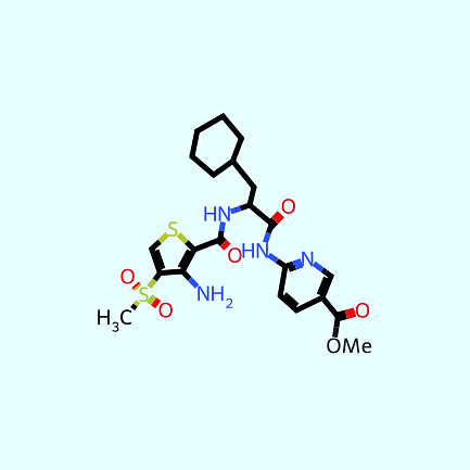 COC(=O)c1ccc(NC(=O)C(CC2CCCCC2)NC(=O)c2scc(S(C)(=O)=O)c2N)nc1